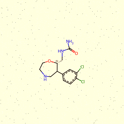 NC(=O)NC[C@H]1OCCNCC1c1ccc(Cl)c(Cl)c1